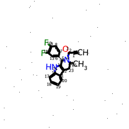 C#CC(=O)N1[C@@H](c2ccc(F)c(F)c2)c2[nH]c3ccccc3c2C[C@@H]1C